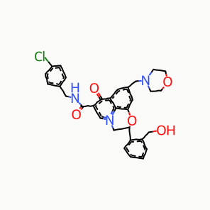 O=C(NCc1ccc(Cl)cc1)c1cn2c3c(cc(CN4CCOCC4)cc3c1=O)OC(c1ccccc1CO)C2